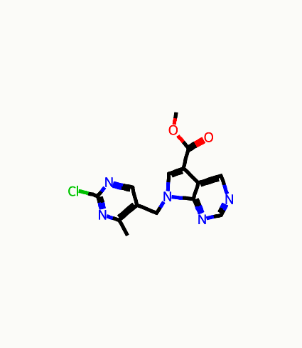 COC(=O)c1cn(Cc2cnc(Cl)nc2C)c2ncncc12